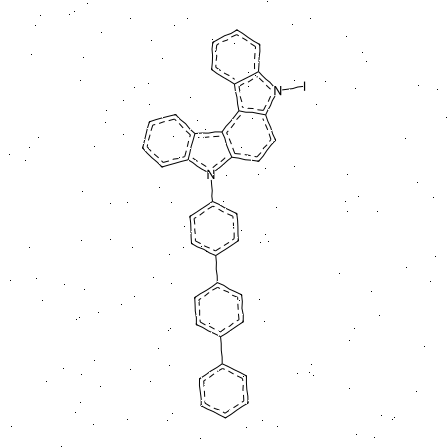 In1c2ccccc2c2c3c4ccccc4n(-c4ccc(-c5ccc(-c6ccccc6)cc5)cc4)c3ccc21